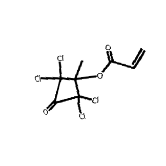 C=CC(=O)OC1(C)C(Cl)(Cl)C(=O)C1(Cl)Cl